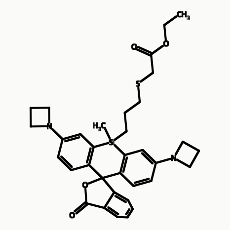 CCOC(=O)CSCCC[Si]1(C)c2cc(N3CCC3)ccc2C2(OC(=O)c3ccccc32)c2ccc(N3CCC3)cc21